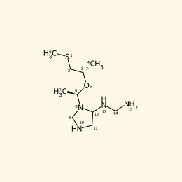 CSC[C@H](C)O[C@H](C)N1CNCC1NCN